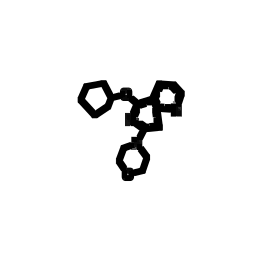 c1cnc2cc(N3CCOCC3)nc(OC3CCCCC3)c2c1